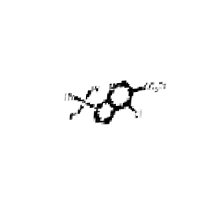 CCOC(=O)c1cnc2c(ccn2S(C(C)C)(C(C)C)C(C)C)c1Cl